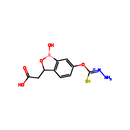 N/N=C(\S)Oc1ccc2c(c1)B(O)OC2CC(=O)O